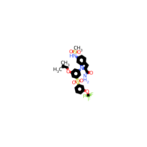 CC(C)COc1cc(-n2c(C(N)=O)cc3ccc(NS(C)(=O)=O)cc32)cc(S(=O)(=O)c2cccc(OC(F)(F)F)c2)c1